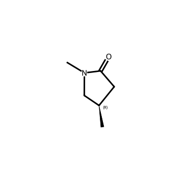 C[C@@H]1CC(=O)N(C)C1